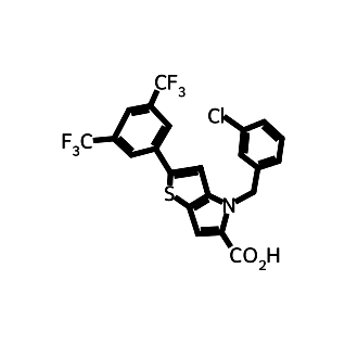 O=C(O)c1cc2sc(-c3cc(C(F)(F)F)cc(C(F)(F)F)c3)cc2n1Cc1cccc(Cl)c1